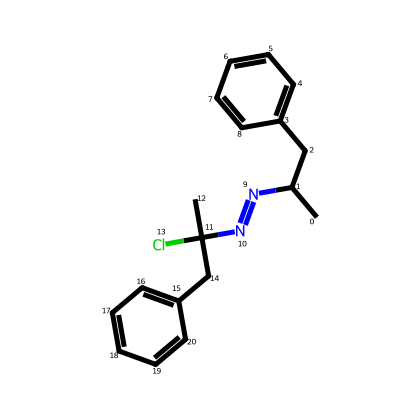 CC(Cc1ccccc1)/N=N/C(C)(Cl)Cc1ccccc1